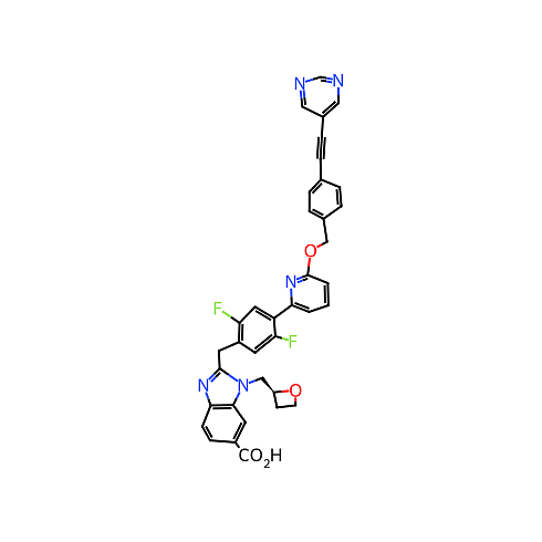 O=C(O)c1ccc2nc(Cc3cc(F)c(-c4cccc(OCc5ccc(C#Cc6cncnc6)cc5)n4)cc3F)n(C[C@@H]3CCO3)c2c1